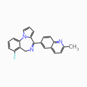 Cc1ccc2cc(C3=NCc4c(F)cccc4-n4cccc43)ccc2n1